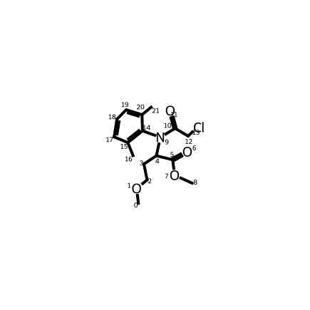 COCCC(C(=O)OC)N(C(=O)CCl)c1c(C)cccc1C